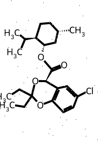 CCC1(CC)Oc2ccc(Cl)cc2[C@H](C(=O)O[C@H]2C[C@@H](C)CC[C@@H]2C(C)C)O1